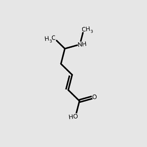 CNC(C)C/C=C/C(=O)O